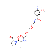 COc1cc(C(=O)NCCOCCOCC(=O)NC(C(=O)N2CCC[C@H]2C=O)C(C)(C)C)ccc1N